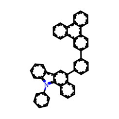 c1ccc(-n2c3ccccc3c3cc(-c4cccc(-c5ccc6c7ccccc7c7ccccc7c6c5)c4)c4ccccc4c32)cc1